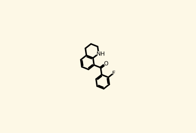 O=C(c1ccccc1F)c1cccc2c1NCCC2